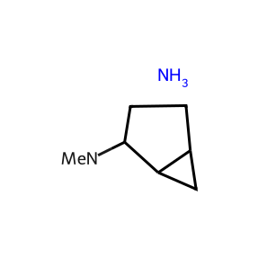 CNC1CCC2CC21.N